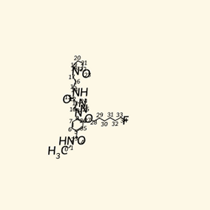 CCNC(=O)c1ccc(-n2cc(C(=O)NCCCN3CCCC3=O)nn2)c(OCCCCCCF)c1